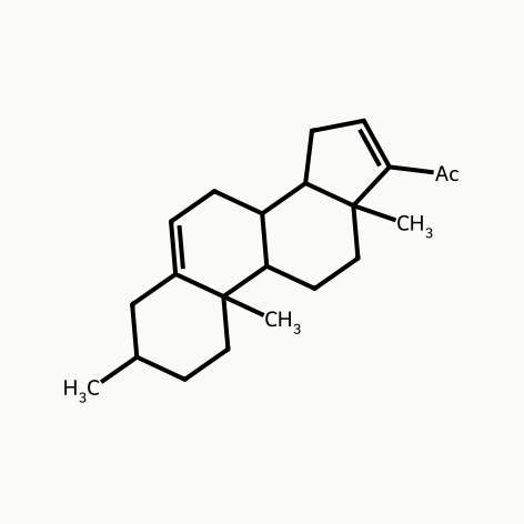 CC(=O)C1=CCC2C3CC=C4CC(C)CCC4(C)C3CCC12C